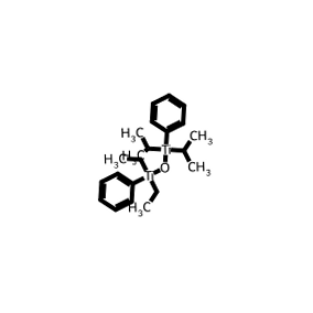 C[CH2][Ti]([CH2]C)([O][Ti]([c]1ccccc1)([CH](C)C)[CH](C)C)[c]1ccccc1